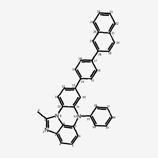 Cc1nc2cccc3c2n1-c1ccc(-c2ccc(-c4ccc5ccccc5c4)cc2)cc1N3c1ccccc1